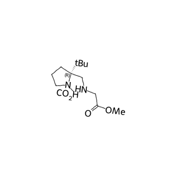 COC(=O)CNC[C@]1(C(C)(C)C)CCCN1C(=O)O